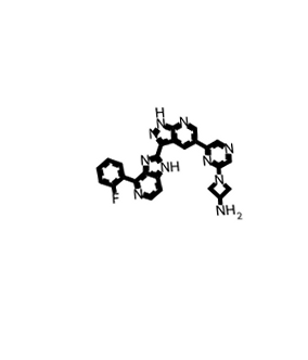 NC1CN(c2cncc(-c3cnc4[nH]nc(-c5nc6c(-c7ccccc7F)nccc6[nH]5)c4c3)n2)C1